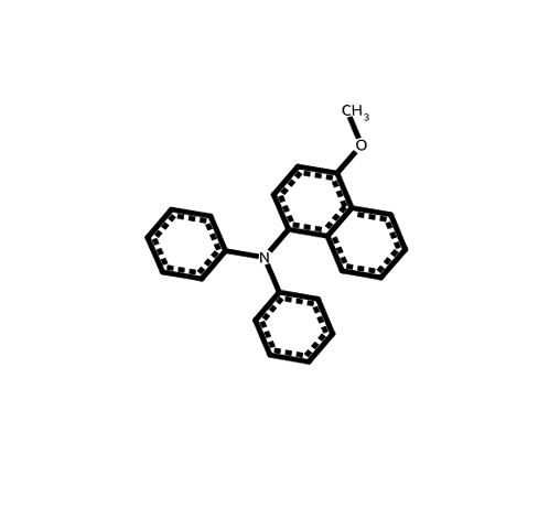 COc1ccc(N(c2ccccc2)c2ccccc2)c2ccccc12